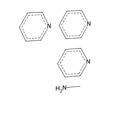 CN.c1ccncc1.c1ccncc1.c1ccncc1